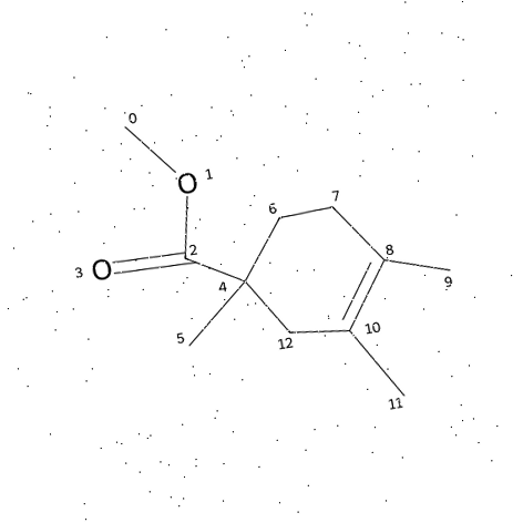 COC(=O)C1(C)CCC(C)=C(C)C1